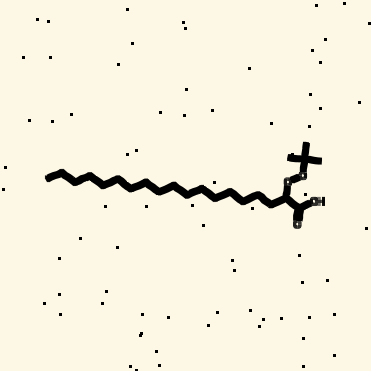 CCCCCCCCCCCCCCCCCC(OOC(C)(C)C)C(=O)O